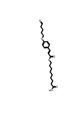 O=CCCCCOc1ccc(/C=C/C(=O)OCCCCCCCCC(=O)O)cc1